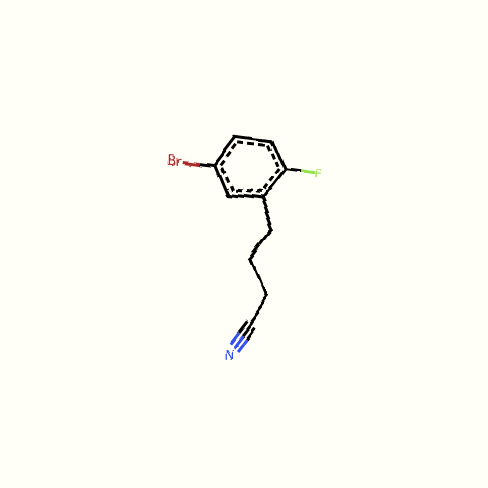 N#CCCCc1cc(Br)ccc1F